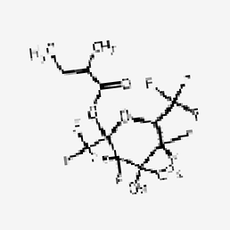 CCC(C)C(=O)OC1(C(F)(F)F)OC(C(F)(F)F)C(F)(F)C(C)(O)C1(F)F